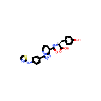 O=C(N[C@@H](Cc1ccc(O)cc1)C(=O)O)C1CC=Cn2c(-c3ccc(Nc4nccs4)cc3)nnc21